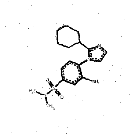 CN(C)S(=O)(=O)c1ccc(-n2ccnc2C2CCCCC2)c(N)c1